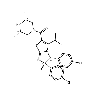 CC(C)C1=C(C(=O)N2C[C@@H](C)N[C@@H](C)C2)SC2=N[C@@](C)(c3ccc(Cl)cc3)[C@@H](c3ccc(Cl)cc3)N21